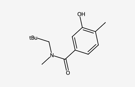 Cc1ccc(C(=O)N(C)CC(C)(C)C)cc1O